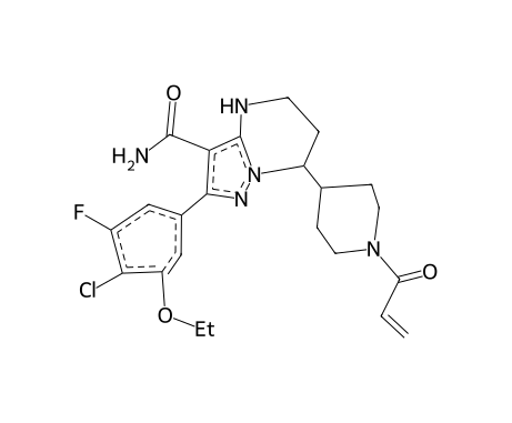 C=CC(=O)N1CCC(C2CCNc3c(C(N)=O)c(-c4cc(F)c(Cl)c(OCC)c4)nn32)CC1